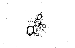 Cc1ccccc1N1[C@@H](C)C2(C)CCC1(C)c1sccc12